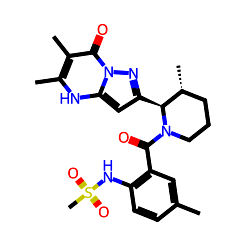 Cc1ccc(NS(C)(=O)=O)c(C(=O)N2CCC[C@@H](C)[C@@H]2c2cc3[nH]c(C)c(C)c(=O)n3n2)c1